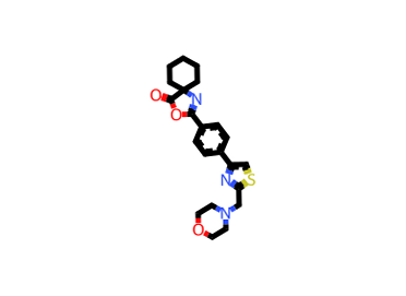 O=C1OC(c2ccc(-c3csc(CN4CCOCC4)n3)cc2)=NC12CCCCC2